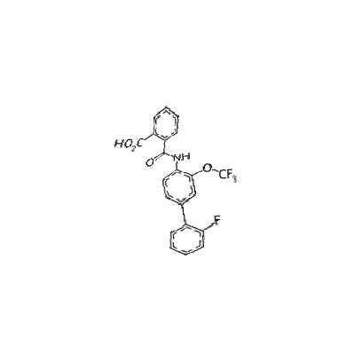 O=C(O)c1ccccc1C(=O)Nc1ccc(-c2ccccc2F)cc1OC(F)(F)F